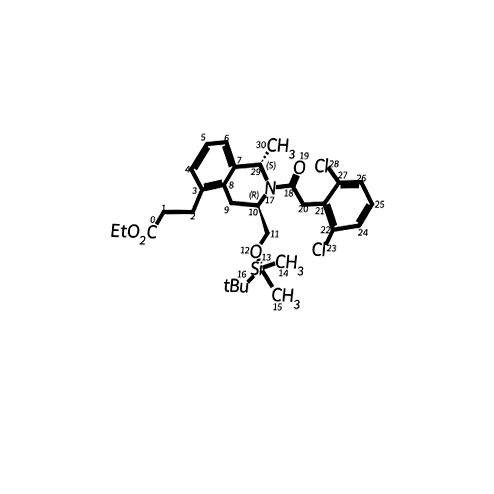 CCOC(=O)CCc1cccc2c1C[C@H](CO[Si](C)(C)C(C)(C)C)N(C(=O)Cc1c(Cl)cccc1Cl)[C@H]2C